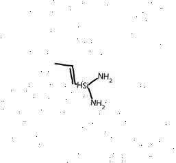 CC=C[SiH](N)N